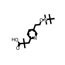 CC(C)(Cc1ccc(CCO[Si](C)(C)C(C)(C)C)cn1)C(=O)O